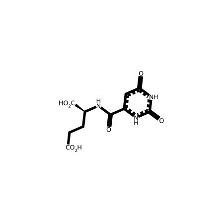 O=C(O)CC[C@H](NC(=O)c1cc(=O)[nH]c(=O)[nH]1)C(=O)O